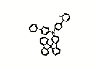 CC1C=CC=CC1c1ccc(N(c2ccc(-c3ccccc3)cc2)c2ccc3c(c2)C(c2ccccc2)(c2ccccc2)c2ccccc2-3)cc1